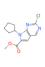 COC(=O)c1cc2cnc(Cl)nc2n1C1CCCC1